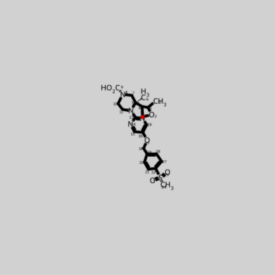 CC1OCC1[C@]1(C)CN(C(=O)O)CCN1c1ncc(OCc2ccc(S(C)(=O)=O)cc2)cn1